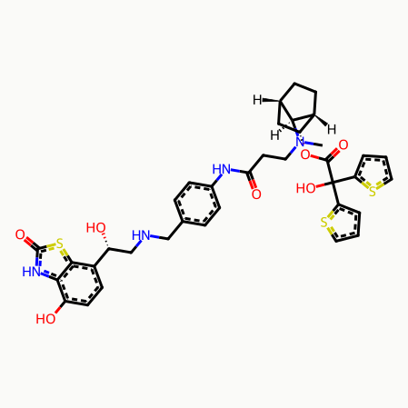 CN(CCC(=O)Nc1ccc(CNC[C@@H](O)c2ccc(O)c3[nH]c(=O)sc23)cc1)[C@H]1[C@H]2CC[C@@H]1[C@H](OC(=O)C(O)(c1cccs1)c1cccs1)C2